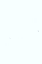 CC1(C)OB(c2ccnc(OCF)c2)OC1(C)C